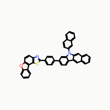 c1ccc2cc(-n3c4cc(-c5ccc(-c6nc7ccc8oc9ccccc9c8c7s6)cc5)ccc4c4cc5ccccc5cc43)ccc2c1